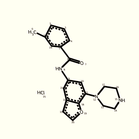 Cc1cccc(C(=O)Nc2cc(N3CCNCC3)c3occc3c2)c1.Cl